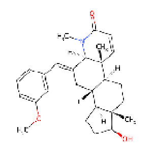 COc1cccc(/C=C2\C[C@@H]3[C@H](CC[C@]4(C)[C@@H](O)CC[C@@H]34)[C@@]3(C)C=CC(=O)N(C)[C@H]23)c1